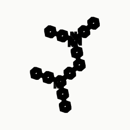 c1ccc(-c2ccc(-c3cc(-c4ccc(-c5cccc(-c6ccc(-c7nc(-c8ccc(-c9ccccc9)cc8)nc(-c8ccc(-c9ccccc9)cc8)n7)cc6)c5)cc4)cc(-c4ccc(-c5ccccc5)cc4)n3)cc2)cc1